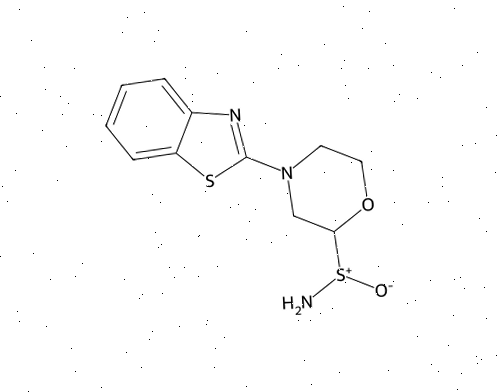 N[S+]([O-])C1CN(c2nc3ccccc3s2)CCO1